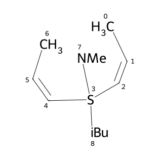 C/C=C\S(/C=C\C)(NC)C(C)CC